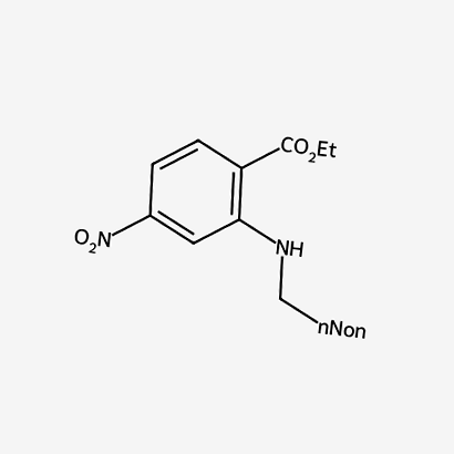 CCCCCCCCCCNc1cc([N+](=O)[O-])ccc1C(=O)OCC